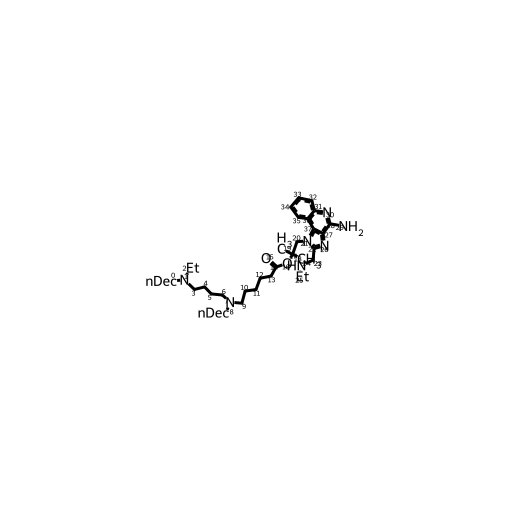 CCCCCCCCCCN(CC)CCCCN(CCCCCCCCCC)CCCCCC(=O)OC(C)(C)Cn1c(CNCC)nc2c(N)nc3ccccc3c21